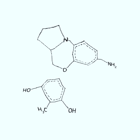 Cc1c(O)cccc1O.Nc1ccc2c(c1)OCC1CCCN21